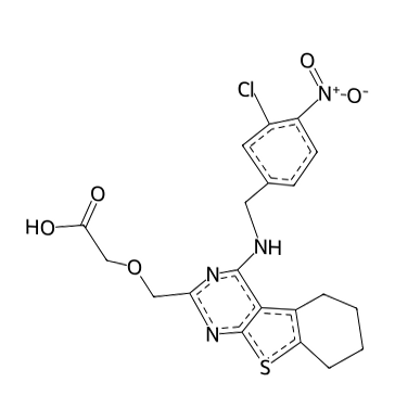 O=C(O)COCc1nc(NCc2ccc([N+](=O)[O-])c(Cl)c2)c2c3c(sc2n1)CCCC3